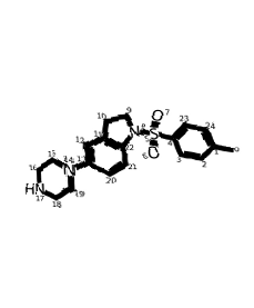 Cc1ccc(S(=O)(=O)N2CCc3cc(N4CCNCC4)ccc32)cc1